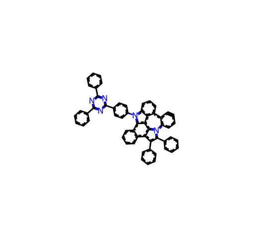 c1ccc2c(c#1)c1cccc3c1c1c(c4ccccc4c4c(-c5ccccc5)c(-c5ccccc5)n2c41)n3-c1ccc(-c2nc(-c3ccccc3)nc(-c3ccccc3)n2)cc1